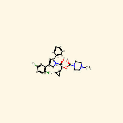 CN1CCN(C(=O)OC(C(=O)N2CC(c3cc(F)ccc3F)=C[C@H]2c2ccccc2)C2CC2)CC1